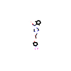 Cc1cccc(C)c1C(C(N)=O)N1CCN(CC(O)COc2ccc([N+](=O)[O-])cc2)CC1